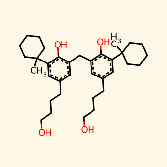 CC1(c2cc(CCCCO)cc(Cc3cc(CCCCO)cc(C4(C)CCCCC4)c3O)c2O)CCCCC1